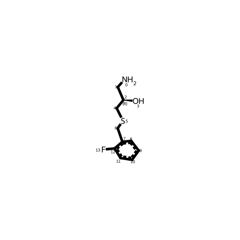 NC[C@@H](O)CSCc1ccccc1F